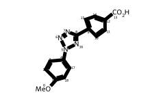 COc1ccc(-n2nnc(-c3ccc(C(=O)O)cc3)n2)cc1